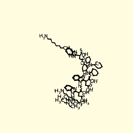 C1CCC(NC2CCCCC2)CC1.C1CCC(NC2CCCCC2)CC1.CCCCCCCCN.CCCCCCCCN.CCNCC.CCNCC.OC(=S)CC(C(O)=S)c1nc2ccccc2[nH]1.OC(=S)CC(C(O)=S)c1nc2ccccc2[nH]1.OC(=S)CC(C(O)=S)c1nc2ccccc2[nH]1